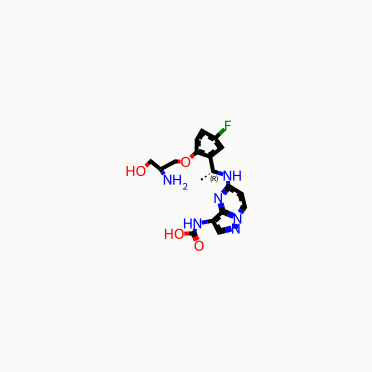 C[C@@H](Nc1ccn2ncc(NC(=O)O)c2n1)c1cc(F)ccc1OCC(N)CO